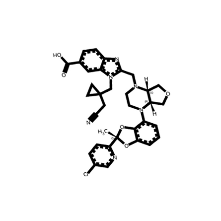 C[C@]1(c2ccc(Cl)cn2)Oc2cccc(N3CCN(Cc4nc5ccc(C(=O)O)cc5n4CC4(CC#N)CC4)[C@@H]4COC[C@@H]43)c2O1